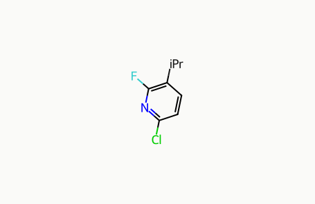 CC(C)c1ccc(Cl)nc1F